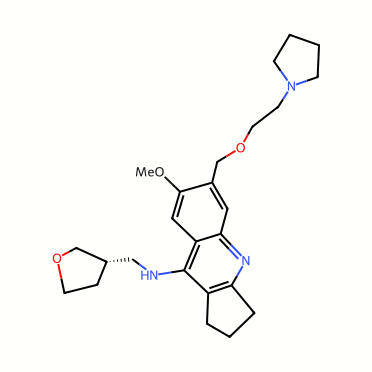 COc1cc2c(NC[C@@H]3CCOC3)c3c(nc2cc1COCCN1CCCC1)CCC3